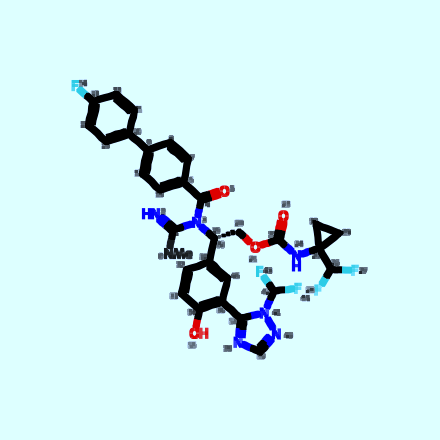 CNC(=N)N(C(=O)c1ccc(-c2ccc(F)cc2)cc1)[C@H](COC(=O)NC1(C(F)F)CC1)c1ccc(O)c(-c2ncnn2C(F)F)c1